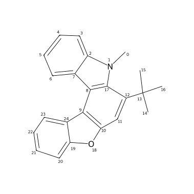 Cn1c2ccccc2c2c3c(cc(C(C)(C)C)c21)oc1ccccc13